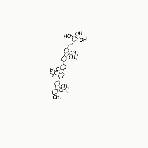 Cc1ccc2c(c1)C(C)(C)c1cc(-c3ccc4c(c3)C(C)(C(F)(F)F)c3cc(-c5ccc6c(c5)C(C)(C)c5cc(CCc7cc(CO)c(O)c(CO)c7)ccc5-6)ccc3-4)ccc1-2